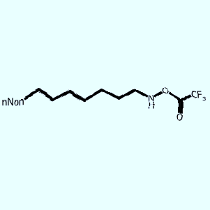 CCCCCCCCCCCCCCCCNOC(=O)C(F)(F)F